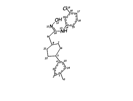 Cc1ccc(C2CCC(C/C(=N/O)Nc3cccc(Cl)c3)CC2)cc1